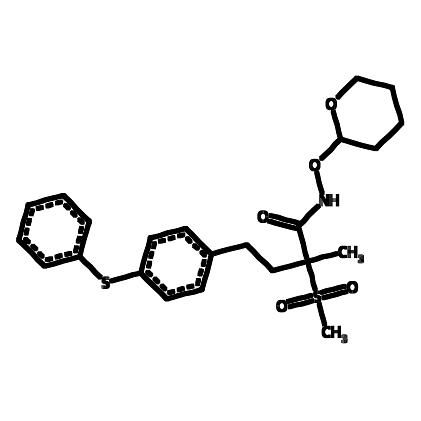 CC(CCc1ccc(Sc2ccccc2)cc1)(C(=O)NOC1CCCCO1)S(C)(=O)=O